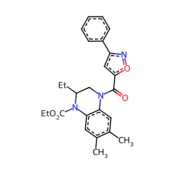 CCOC(=O)N1c2cc(C)c(C)cc2N(C(=O)c2cc(-c3ccccc3)no2)CC1CC